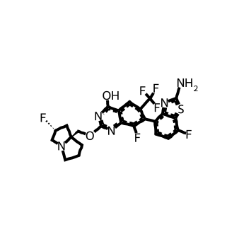 Nc1nc2c(-c3c(C(F)(F)F)cc4c(O)nc(OC[C@@]56CCCN5C[C@H](F)C6)nc4c3F)ccc(F)c2s1